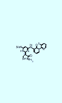 CNC1=CC(Nc2cccn(-c3ncccc3F)c2=O)=N/C(=C(/C=N)C(N)=O)N1